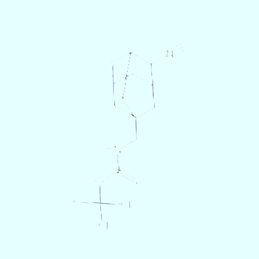 [C-]#[N+]C1C2CC3CC1CC(CNC(=O)OC(C)(C)C)(C3)C2